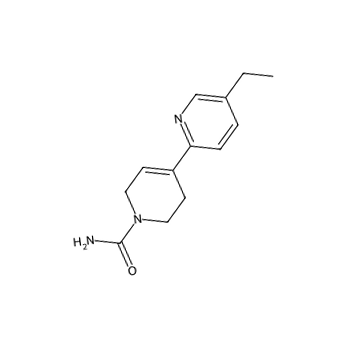 CCc1ccc(C2=CCN(C(N)=O)CC2)nc1